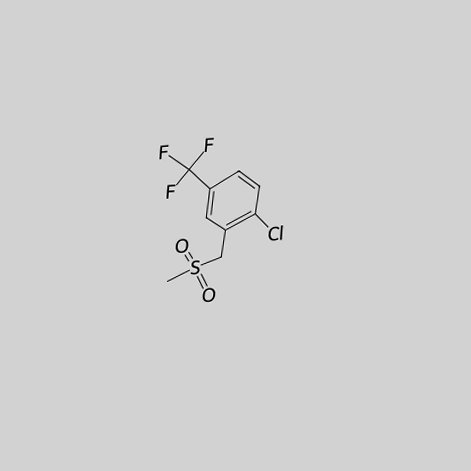 CS(=O)(=O)Cc1cc(C(F)(F)F)ccc1Cl